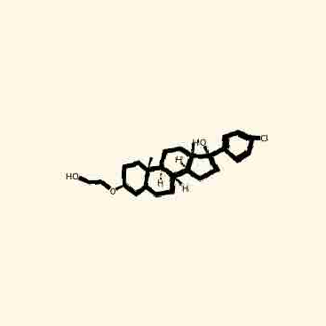 C[C@]12CC[C@H](OCCO)CC1CC[C@@H]1[C@@H]2CC[C@@]2(C)[C@H]1CC[C@@]2(O)c1ccc(Cl)cc1